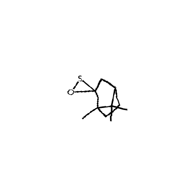 CC1(C)C2CCC1(C)C1(C2)OS1